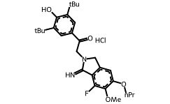 CCCOc1cc2c(c(F)c1OC)C(=N)N(CC(=O)c1cc(C(C)(C)C)c(O)c(C(C)(C)C)c1)C2.Cl